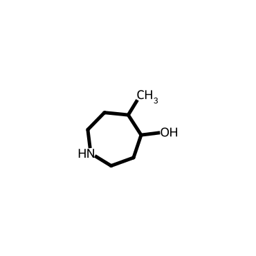 CC1CCNCCC1O